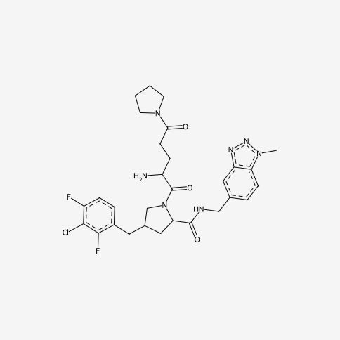 Cn1nnc2cc(CNC(=O)C3CC(Cc4ccc(F)c(Cl)c4F)CN3C(=O)C(N)CCC(=O)N3CCCC3)ccc21